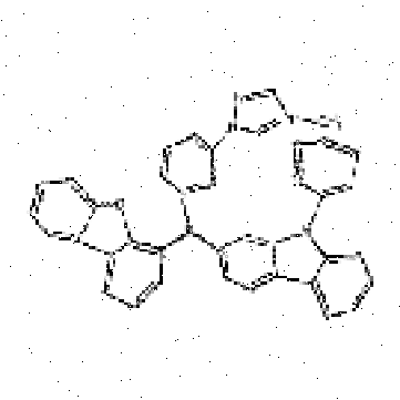 C[n+]1cnn(-c2cccc(B(c3ccc4c5ccccc5n(-c5ccccn5)c4c3)c3cccc4c3oc3ccccc34)c2)c1